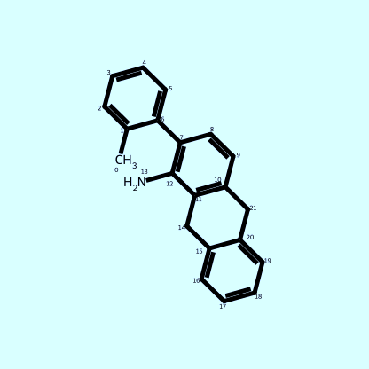 Cc1ccccc1-c1ccc2c(c1N)Cc1ccccc1C2